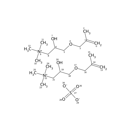 C=C(C)COCC(O)C[N+](C)(C)C.C=C(C)COCC(O)C[N+](C)(C)C.O=S(=O)([O-])[O-]